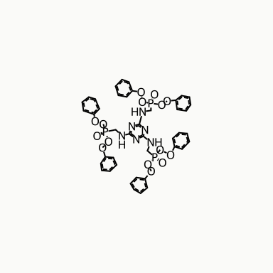 O=P(CNc1nc(NCP(=O)(OOc2ccccc2)OOc2ccccc2)nc(NCP(=O)(OOc2ccccc2)OOc2ccccc2)n1)(OOc1ccccc1)OOc1ccccc1